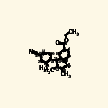 CCOC(=O)c1ccc2nc(C)c(C)c(-c3ccc(C#N)cc3C)c2c1